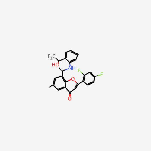 Cc1cc([C@@H](C)Nc2ccccc2C(O)C(F)(F)F)c2oc(-c3ccc(F)cc3F)cc(=O)c2c1